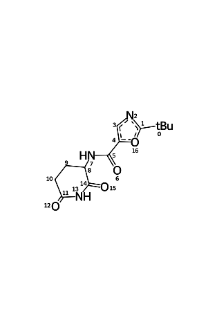 CC(C)(C)c1ncc(C(=O)NC2CCC(=O)NC2=O)o1